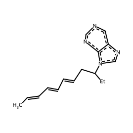 CC=CC=CC=CCC(CC)n1cnc2cncnc21